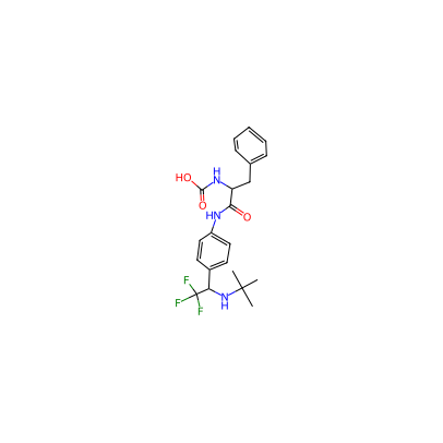 CC(C)(C)NC(c1ccc(NC(=O)C(Cc2ccccc2)NC(=O)O)cc1)C(F)(F)F